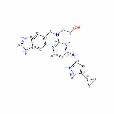 OCCN(Cc1ccc2[nH]cnc2c1)c1nccc(Nc2cc(C3CC3)[nH]n2)n1